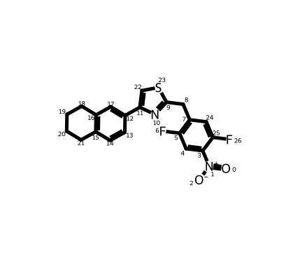 O=[N+]([O-])c1cc(F)c(Cc2nc(-c3ccc4c(c3)CCCC4)cs2)cc1F